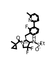 CC[S+]([O-])NC1[C@H](Cc2cccc(-c3cccc(C)n3)c2F)N(C(=O)C2(C)CC2)CC1(F)F